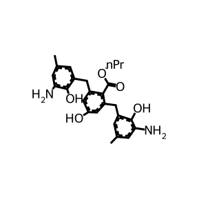 CCCOC(=O)c1c(Cc2cc(C)cc(N)c2O)cc(O)cc1Cc1cc(C)cc(N)c1O